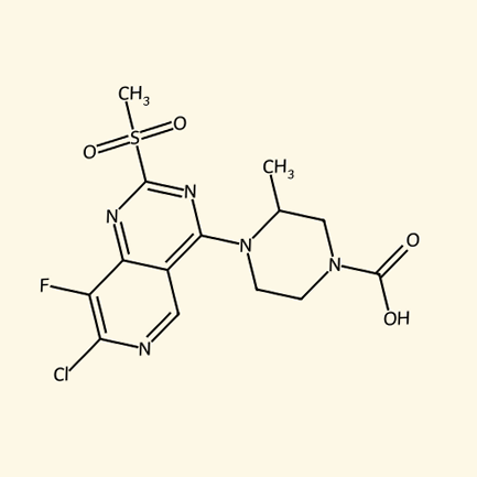 CC1CN(C(=O)O)CCN1c1nc(S(C)(=O)=O)nc2c(F)c(Cl)ncc12